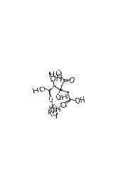 O=C(O)CC(O)(C(=O)O)C(O)C(=O)O.[KH].[KH].[KH]